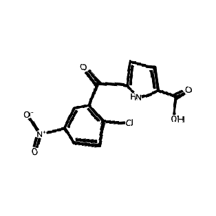 O=C(O)c1ccc(C(=O)c2cc([N+](=O)[O-])ccc2Cl)[nH]1